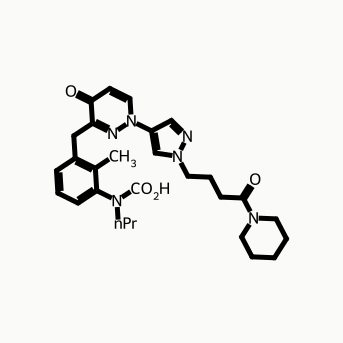 CCCN(C(=O)O)c1cccc(Cc2nn(-c3cnn(CCCC(=O)N4CCCCC4)c3)ccc2=O)c1C